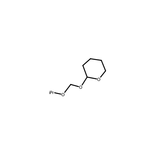 CC(C)OCOC1CCCCO1